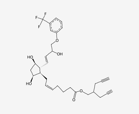 C#CCC(CC#C)COC(=O)CCC/C=C\C[C@@H]1[C@@H](/C=C/C(O)COc2cccc(C(F)(F)F)c2)[C@H](O)C[C@@H]1O